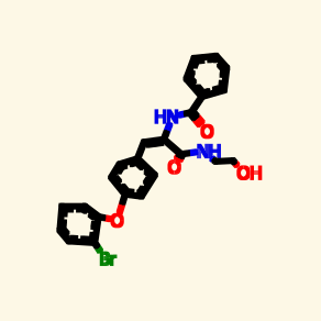 O=C(NCCO)/C(=C\c1ccc(Oc2ccccc2Br)cc1)NC(=O)c1ccccc1